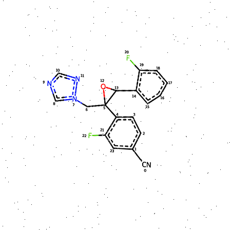 N#Cc1ccc(C2(Cn3cncn3)OC2c2ccccc2F)c(F)c1